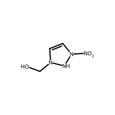 O=[N+]([O-])N1C=CN(CO)N1